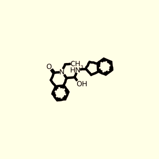 CCN1C(=O)Cc2ccccc2C1C(O)NC1Cc2ccccc2C1